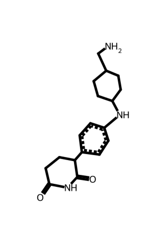 NCC1CCC(Nc2ccc(C3CCC(=O)NC3=O)cc2)CC1